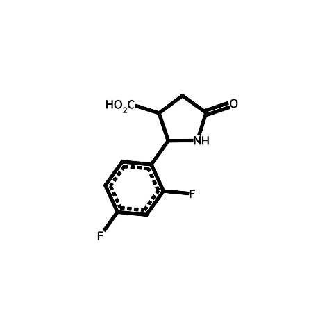 O=C1CC(C(=O)O)C(c2ccc(F)cc2F)N1